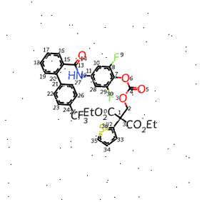 CCOC(=O)C(COC(=O)Oc1c(F)cc(NC(=O)c2ccccc2-c2ccc(C(F)(F)F)cc2)cc1F)(C(=O)OCC)c1cccs1